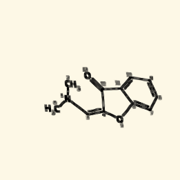 CN(C)C=C1Oc2ccccc2C1=O